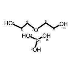 OB(O)O.OCCOCCO